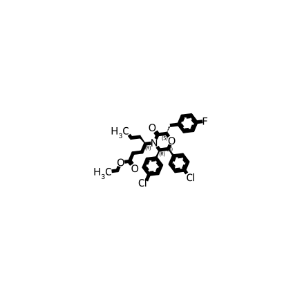 CCC[C@H](CCC(=O)OCC)N1C(=O)[C@H](Cc2ccc(F)cc2)O[C@@H](c2ccc(Cl)cc2)[C@H]1c1ccc(Cl)cc1